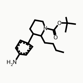 CCCCC1C(c2ccc(N)cc2)CCCN1C(=O)OC(C)(C)C